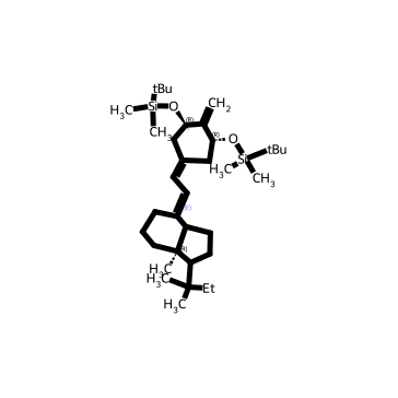 C=C1[C@H](O[Si](C)(C)C(C)(C)C)CC(=C/C=C2\CCC[C@@]3(C)C2CCC3C(C)(C)CC)C[C@H]1O[Si](C)(C)C(C)(C)C